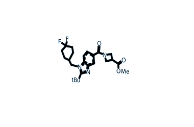 COC(=O)C1CN(C(=O)c2ccc3c(c2)nc(C(C)(C)C)n3CC2CCC(F)(F)CC2)C1